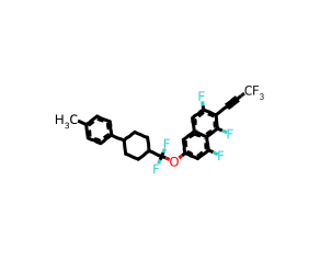 Cc1ccc(C2CCC(C(F)(F)Oc3cc(F)c4c(F)c(C#CC(F)(F)F)c(F)cc4c3)CC2)cc1